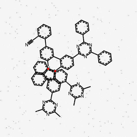 Cc1nc(C)nc(-c2ccc3c(c2)c2ccccc2n3-c2ccc(-c3nc(-c4ccccc4)nc(-c4ccccc4)n3)cc2-c2cc(-c3ccccc3C#N)ccc2-n2c3ccccc3c3cc(-c4nc(C)nc(C)n4)ccc32)n1